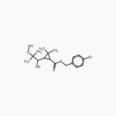 CC(C)(OO)C(O)C1C(C(=O)OCc2ccc(Cl)cc2)C1(C)C